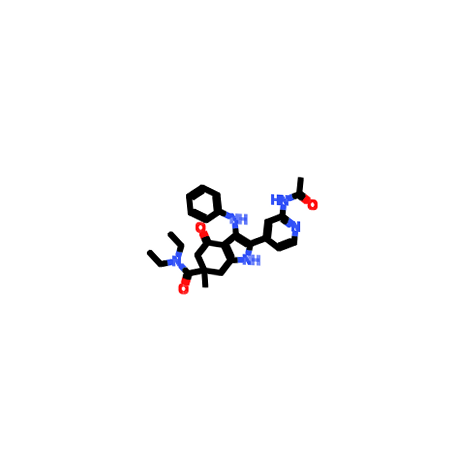 CCN(CC)C(=O)C1(C)CC(=O)c2c([nH]c(-c3ccnc(NC(C)=O)c3)c2Nc2ccccc2)C1